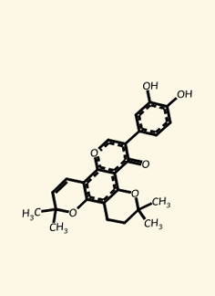 CC1(C)C=Cc2c(c3c(c4c(=O)c(-c5ccc(O)c(O)c5)coc24)OC(C)(C)CC3)O1